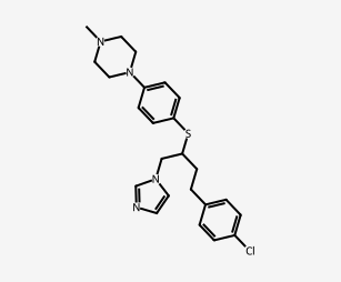 CN1CCN(c2ccc(SC(CCc3ccc(Cl)cc3)Cn3ccnc3)cc2)CC1